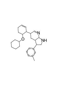 Cc1cccc(C2CNC3N=CC(C4C=CCCC4OC4CCCCC4)CC32)c1